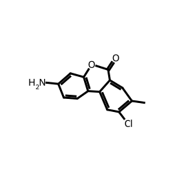 Cc1cc2c(=O)oc3cc(N)ccc3c2cc1Cl